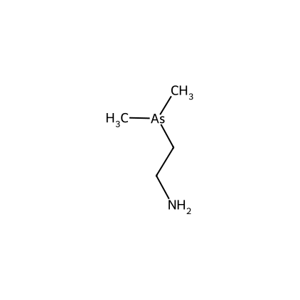 C[As](C)CCN